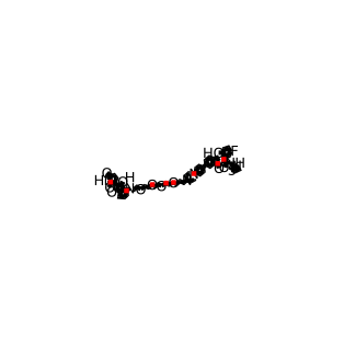 O=C1CCC(N2C(=O)c3cccc(NCCOCCOCCOCCOCCCN4CCN(c5ccc(-c6ccc7c(c6)C(=O)N(C(C(=O)Nc6nccs6)c6cc(F)ccc6O)C7)cc5)CC4)c3C2=O)C(=O)N1